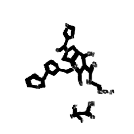 O=C(O)C(F)(F)F.O=C(O)CNC(=O)c1c(O)c2c(n(Cc3cccc(-c4cccnc4)c3)c1=O)CN(C(=O)c1cscn1)C2